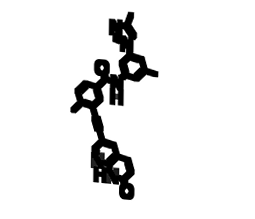 Cc1cc(NC(=O)c2ccc(C)c(C#Cc3cnc4[nH]c(=O)ccc4c3)c2)cc(-n2cnc(C)c2)c1